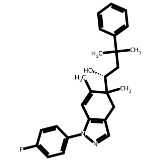 CC1=Cc2c(cnn2-c2ccc(F)cc2)CC1(C)[C@H](O)CC(C)(C)c1ccccc1